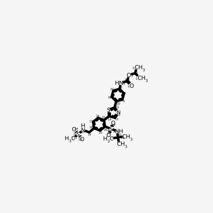 CC(C)OC(=O)Nc1ccc(-c2ncc(-c3ccc(CNS(C)(=O)=O)cc3S(=O)(=O)NC(C)(C)C)s2)cc1